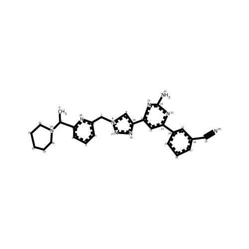 CC(c1cccc(Cn2cc(-c3cc(-c4cccc(C#N)c4)nc(N)n3)nn2)n1)N1CCCCC1